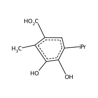 Cc1c(C(=O)O)cc(C(C)C)c(O)c1O